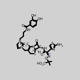 CC(C)(O/N=C(\C(=O)N[C@@H]1C(=O)N2C(C(=O)O)=C(C[n+]3ccn(CCCNC(=O)c4ccc(O)c(O)c4)c3)CS[C@H]12)c1csc(N)n1)C(=O)O